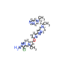 CC(CCC(C)N1CCCn2nc(-c3cccc(OCCC(C)N4CCCn5nc(N)c(Cl)c5C4)n3)cc2C1)N1CCn2cncc2C1